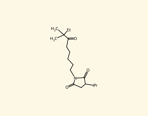 CCC(C)(C)C(=O)CCCCCN1C(=O)CC(C(C)C)C1=O